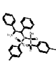 Cc1ccc(S(=O)(=O)N(C(c2ccccc2)C(N)c2ccccc2)P(=O)(O)S(=O)(=O)c2ccc(C)cc2)cc1